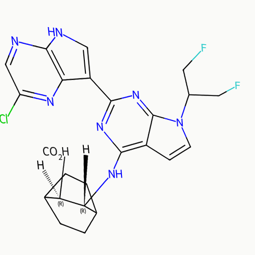 O=C(O)[C@@H]1C2CCC(CC2)[C@H]1Nc1nc(-c2c[nH]c3ncc(Cl)nc23)nc2c1ccn2C(CF)CF